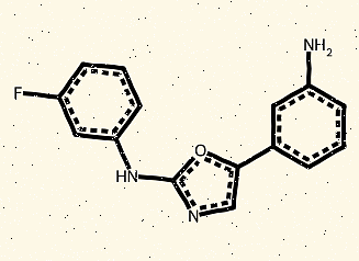 Nc1cccc(-c2cnc(Nc3cccc(F)c3)o2)c1